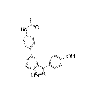 CC(=O)Nc1ccc(-c2cnc3[nH]nc(-c4ccc(O)cc4)c3c2)cc1